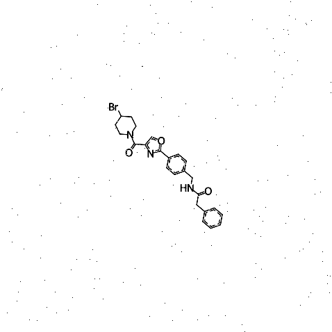 O=C(Cc1ccccc1)NCc1ccc(-c2nc(C(=O)N3CCC(Br)CC3)co2)cc1